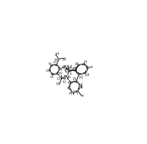 Cc1ncc(NC(=O)Nc2c(C(C)C)cccc2C(C)C)c(-c2ccccc2Cl)n1